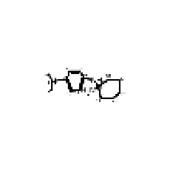 CN(C)c1ccc(NC2(N)CCCCC2)cc1